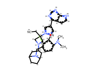 CN(C)c1ccc(CN2C3CCC2CC(N2CC(CC#N)(n4cc(-c5ncnc6[nH]ccc56)cn4)C2)C3)c(F)c1C#N